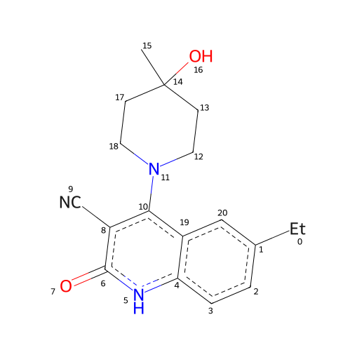 CCc1ccc2[nH]c(=O)c(C#N)c(N3CCC(C)(O)CC3)c2c1